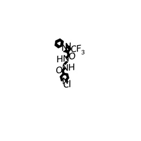 O=C(NCCNC(=O)C1CCN(Cl)CC1)c1cn(-c2ccccc2)nc1C(F)(F)F